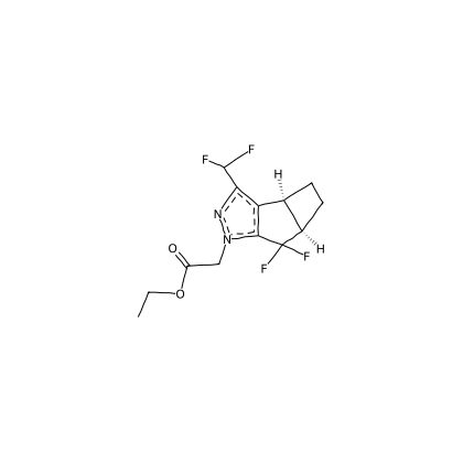 CCOC(=O)Cn1nc(C(F)F)c2c1C(F)(F)[C@@H]1CC[C@H]21